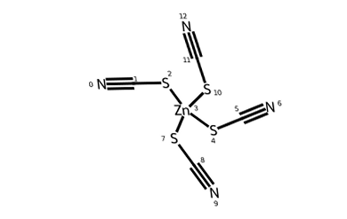 N#C[S][Zn]([S]C#N)([S]C#N)[S]C#N